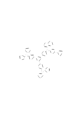 c1ccc(-c2ccc(N(c3ccc(-c4cc(-c5ccc6c(c5)c5ccccc5n6-c5ccccc5)cc(-c5ccc6c(c5)c5ccccc5n6-c5ccccc5)c4)cc3)c3cccc4ccccc34)cc2)cc1